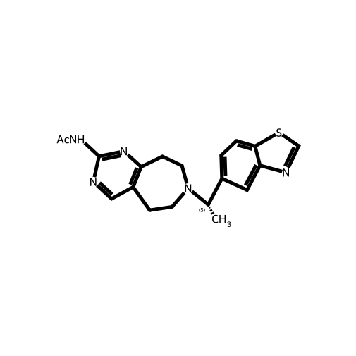 CC(=O)Nc1ncc2c(n1)CCN([C@@H](C)c1ccc3scnc3c1)CC2